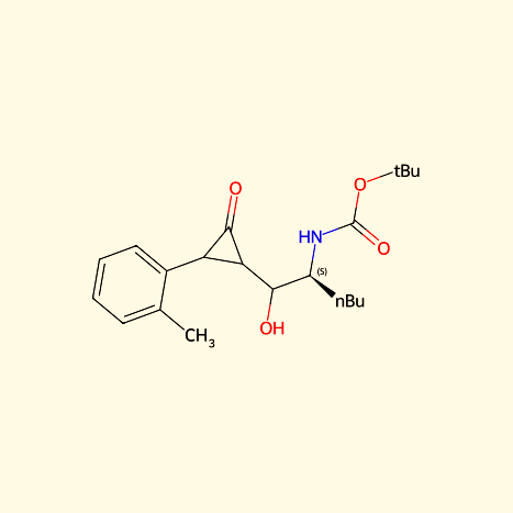 CCCC[C@H](NC(=O)OC(C)(C)C)C(O)C1C(=O)C1c1ccccc1C